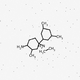 CC.CC1CC(C)CC(C2(N)CCC(N)C(C)C2)C1